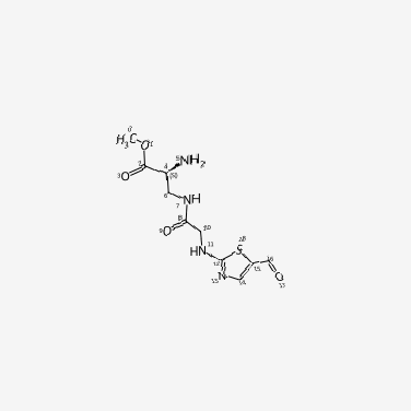 COC(=O)[C@@H](N)CNC(=O)CNc1ncc(C=O)s1